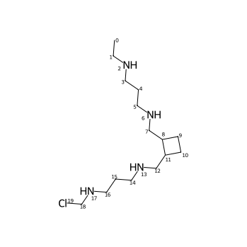 CCNCCCNCC1CCC1CNCCCNCCl